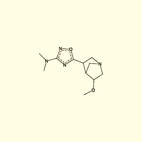 COC1CN2CC(c3nc(N(C)C)no3)C1C2